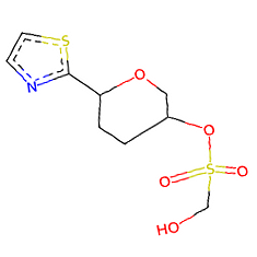 O=S(=O)(CO)OC1CCC(c2nccs2)OC1